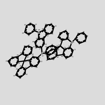 c1ccc(N2c3ccccc3C3(c4ccccc4)c4cc(N(c5ccc6c(c5)C5(c7ccccc7-c7ccccc75)c5ccccc5-6)c5ccc6c(c5)c5ccccc5n6-c5ccccc5)ccc4-c4cccc2c43)cc1